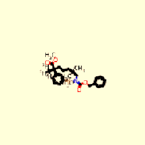 [2H]C([2H])([2H])C(CCCC(C)(C)CN(C)C(=O)OCc1ccccc1)(C(=O)OC)c1cccc(Br)c1